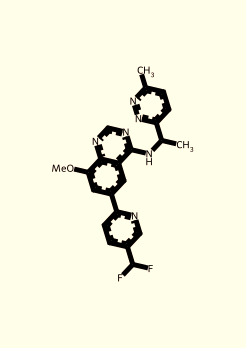 COc1cc(-c2ccc(C(F)F)cn2)cc2c(NC(C)c3ccc(C)nn3)ncnc12